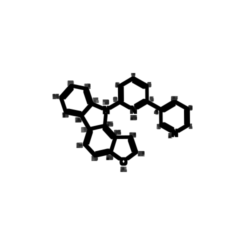 c1cncc(-c2cccc(-n3c4ccccc4c4ccc5occc5c43)n2)c1